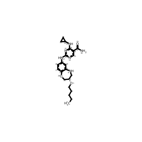 CCCCCO[C@H]1CNc2cc(Nc3ncc(C(N)=O)c(NC4CC4)n3)ccc2OC1